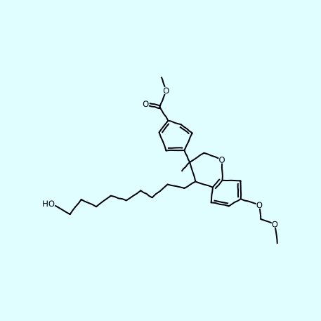 COCOc1ccc2c(c1)OCC(C)(c1ccc(C(=O)OC)cc1)C2CCCCCCCCCO